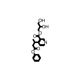 CC(CC(=O)Oc1ccccc1)c1ccncc1C(=O)OCC(O)CO